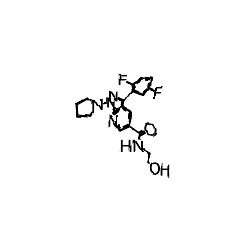 O=C(NCCO)c1cnc2c(c1)c(-c1cc(F)ccc1F)nn2N1CCCC1